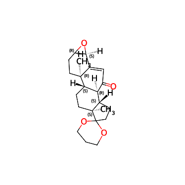 C[C@]12CC[C@H]3O[C@H]3C1=CC(=O)[C@@H]1[C@@H]2CC[C@@]2(C)[C@H]1CCC21OCCCO1